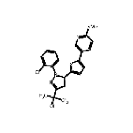 CSc1ccc(-c2ccc(C3CC(C(O)(C(F)(F)F)C(F)(F)F)=NN3c3ccccc3Cl)s2)cn1